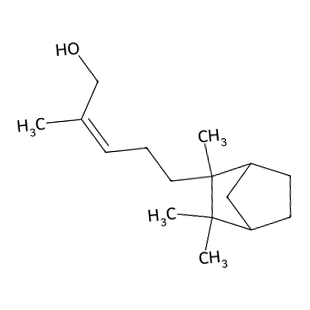 C/C(=C/CCC1(C)C2CCC(C2)C1(C)C)CO